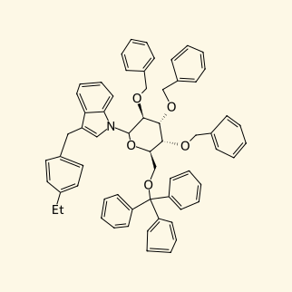 CCc1ccc(Cc2cn(C3O[C@H](COC(c4ccccc4)(c4ccccc4)c4ccccc4)[C@@H](OCc4ccccc4)[C@@H](OCc4ccccc4)[C@@H]3OCc3ccccc3)c3ccccc23)cc1